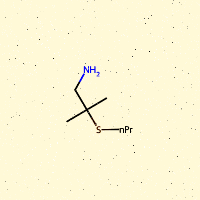 CCCSC(C)(C)CN